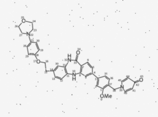 COc1cc(-c2ccc3c(c2)Nc2ccc(CCOc4ccc(N5CCOCC5)cc4)cc2NC3=O)ccc1Cn1ccc(=O)cc1